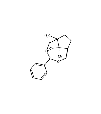 CC12CCC(COP(c3ccccc3)OC1)C2(C)C